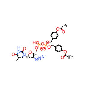 Cc1cn([C@H]2CC(N=[N+]=[N-])[C@@H](COP(=O)(O)OP(=O)(OCc3ccc(OC(=O)C(C)C)cc3)OCc3ccc(OC(=O)C(C)C)cc3)O2)c(=O)[nH]c1=O